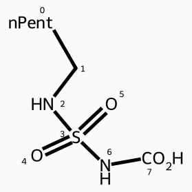 CCCCCCNS(=O)(=O)NC(=O)O